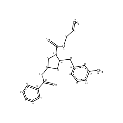 C=CCOC(=O)N1CC(SC(=O)c2ccccc2)CC1Cc1ccnc(C)c1